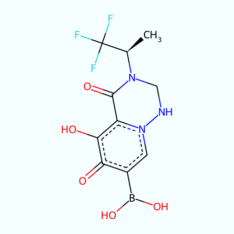 C[C@@H](N1CNn2cc(B(O)O)c(=O)c(O)c2C1=O)C(F)(F)F